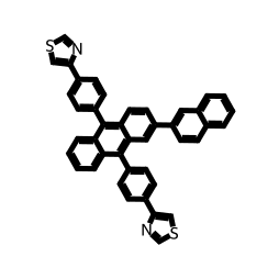 c1ccc2cc(-c3ccc4c(-c5ccc(-c6cscn6)cc5)c5ccccc5c(-c5ccc(-c6cscn6)cc5)c4c3)ccc2c1